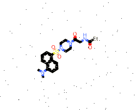 CCC(=O)NCC(=O)N1CCN(S(=O)(=O)c2cccc3c(N(C)C)cccc23)CC1